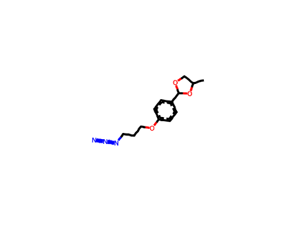 CC1COC(c2ccc(OCCCN=[N+]=[N-])cc2)O1